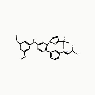 COc1cc(Nc2ncc(-c3cccc(/C=C/C(=O)O)c3)c(-n3ccc(C(F)(F)F)n3)n2)cc(OC)c1